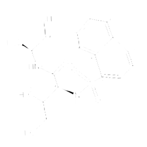 CCC(C)[C@H](NS(=O)(=O)c1cccc2ccccc12)C(=O)N[C@@H](C)CO